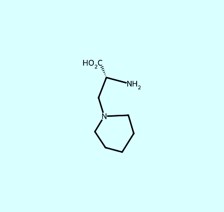 N[C@H](CN1CCCCC1)C(=O)O